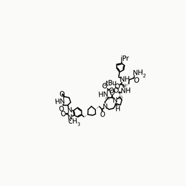 CC(C)c1ccc(CNC(=O)[C@H](CCC(N)=O)NC(=O)[C@@H]2CC[C@@H]3CCN(C(=O)C[C@H]4CC[C@@H](Cc5ccc6c(c5)n(C)c(=O)n6C5CCC(=O)NC5=O)CC4)C[C@H](NC(=O)OC(C)(C)C)C(=O)N32)cc1